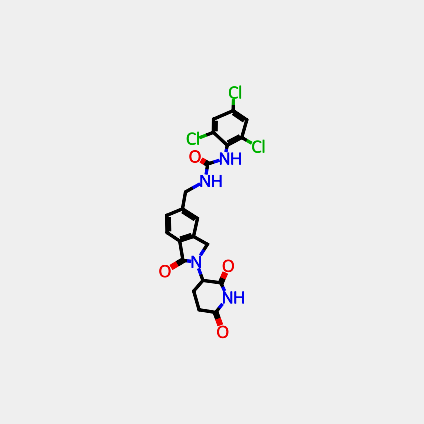 O=C1CCC(N2Cc3cc(CNC(=O)Nc4c(Cl)cc(Cl)cc4Cl)ccc3C2=O)C(=O)N1